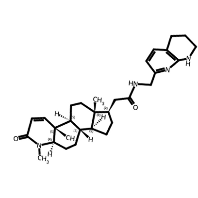 CN1C(=O)C=C[C@]2(C)[C@H]3CC[C@]4(C)[C@@H](CC(=O)NCc5ccc6c(n5)NCCC6)CC[C@H]4[C@@H]3CC[C@@H]12